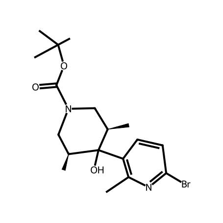 Cc1nc(Br)ccc1C1(O)[C@H](C)CN(C(=O)OC(C)(C)C)C[C@@H]1C